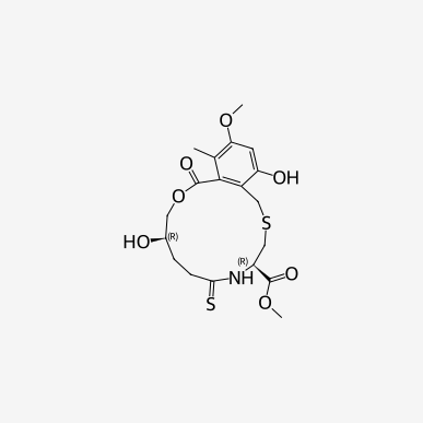 COC(=O)[C@@H]1CSCc2c(O)cc(OC)c(C)c2C(=O)OC[C@H](O)CCC(=S)N1